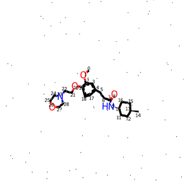 COc1cc(CCC(=O)N[C@H]2CC[C@H](C)CC2)ccc1OCCN1CCOCC1